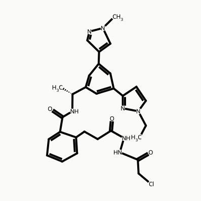 CCn1ccc(-c2cc(-c3cnn(C)c3)cc([C@@H](C)NC(=O)c3ccccc3CCC(=O)NNC(=O)CCl)c2)n1